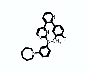 Cc1cc(-c2ncccc2-c2ccnc(Nc3cccc(N4CCCCCC4)c3)n2)ccc1F